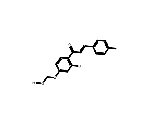 CCOCOc1ccc(C(=O)C=Cc2ccc(C)cc2)c(O)c1